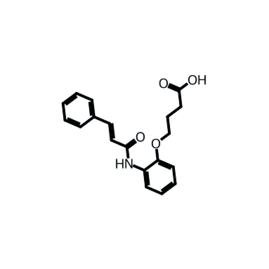 O=C(O)CCCOc1ccccc1NC(=O)C=Cc1ccccc1